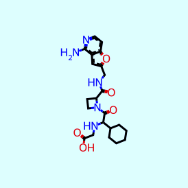 Nc1nccc2oc(CNC(=O)C3CCN3C(=O)C(NCC(=O)O)C3CCCCC3)cc12